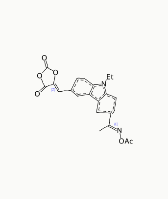 CCn1c2ccc(/C=C3\OC(=O)OC3=O)cc2c2cc(/C(C)=N/OC(C)=O)ccc21